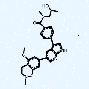 COc1cc(-c2cnc3[nH]cc(-c4ccc(C(=O)N(C)CC(C)O)cc4)c3c2)cc2c1CCN(C)C2